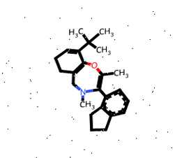 CC1=C(c2cccc3c2CCC3)N(C)CC2=C(O1)C(C(C)(C)C)=CCC2